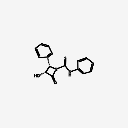 O=C1[C@H](O)[C@H](c2ccccc2)N1C(=S)Nc1ccccc1